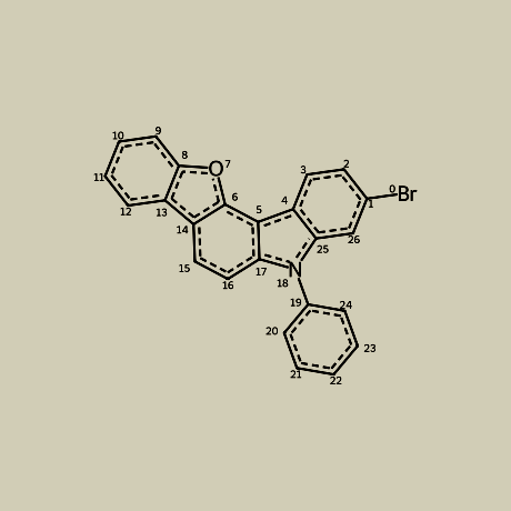 Brc1ccc2c3c4oc5ccccc5c4ccc3n(-c3ccccc3)c2c1